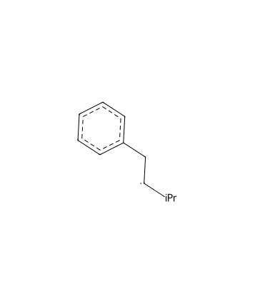 CC(C)[CH]Cc1ccccc1